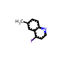 Cc1ccc2nccc(I)c2c1